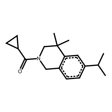 CC(C)c1ccc2c(c1)C(C)(C)CN(C(=O)C1CC1)C2